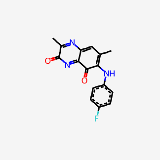 CC1=NC2=CC(C)=C(Nc3ccc(F)cc3)C(=O)C2=NC1=O